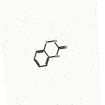 O=C1NSc2ccccc2N1